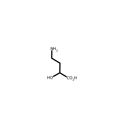 NCCC(O)C(=O)O